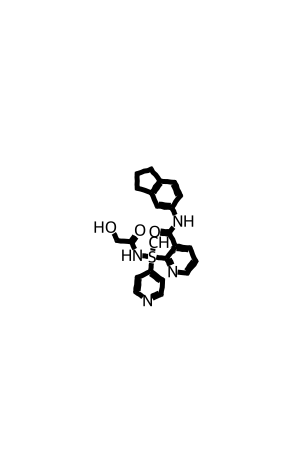 CS(NC(=O)CO)(c1ccncc1)c1ncccc1C(=O)Nc1ccc2c(c1)CCC2